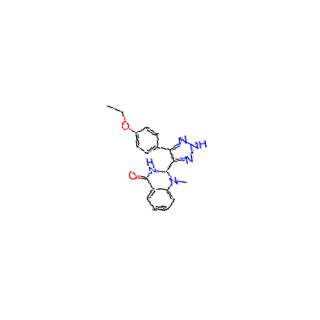 CCOc1ccc(-c2n[nH]nc2C2NC(=O)c3ccccc3N2C)cc1